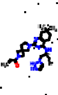 C=CC(=O)N1CC2(CCN(c3nc4c(c(N[C@@H](CC(C)C)CN5C=CNN5)n3)CCC(C)(C)C4)C2)C1